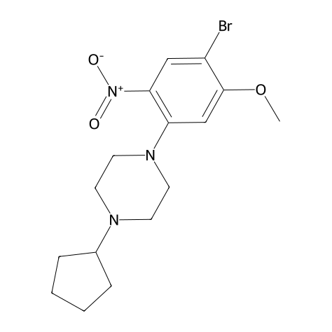 COc1cc(N2CCN(C3CCCC3)CC2)c([N+](=O)[O-])cc1Br